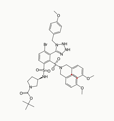 COc1ccc(CN2NNN=C2c2c(Br)ccc(S(=O)(=O)N[C@@H]3CCN(C(=O)OC(C)(C)C)C3)c2S(=O)(=O)N(Cc2ccc(OC)cc2)Cc2ccc(OC)cc2)cc1